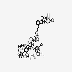 CCn1nc(C2CC2)cc1Nc1nc(C(=O)Nc2cn(CCCCc3cccc4c3CN(C3CCC(=O)NC3=O)C4=O)cn2)nc2[nH]c3cc(-c4c(C)noc4C)c(OC)cc3c12